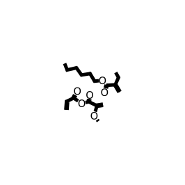 C=C(CC)C(=O)OCCCCCC.C=CC(=O)OC(=O)C(=C)OC